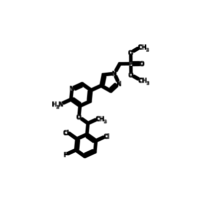 COP(=O)(Cn1cc(-c2cnc(N)c(OC(C)c3c(Cl)ccc(F)c3Cl)c2)cn1)OC